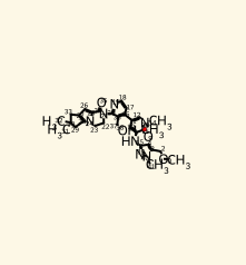 COCc1cc(N/C(C=O)=C/C(=C\N(C)C)c2ccnc(N3CCn4c(cc5c4CC(C)(C)C5)C3=O)c2CO)nn1C